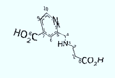 O=C(O)CCNCc1cc(C(=O)O)ccn1